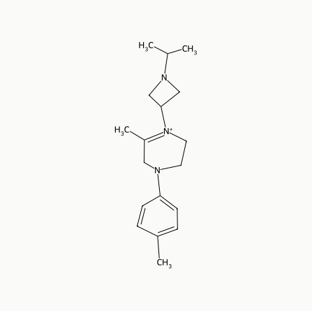 CC1=[N+](C2CN(C(C)C)C2)CCN(c2ccc(C)cc2)C1